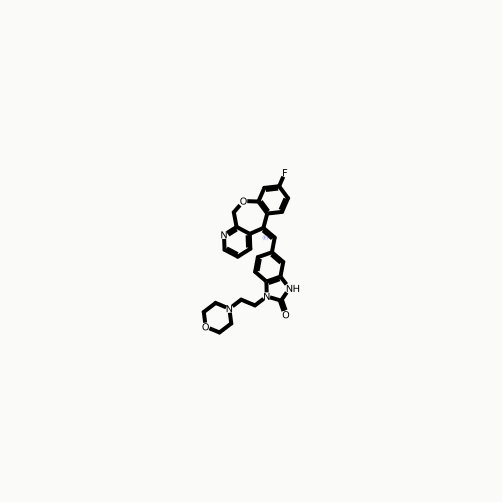 O=c1[nH]c2cc(/C=C3/c4ccc(F)cc4OCc4ncccc43)ccc2n1CCN1CCOCC1